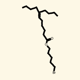 CCCCC(=CCCCCC(=O)OCCCCCBr)CCCC